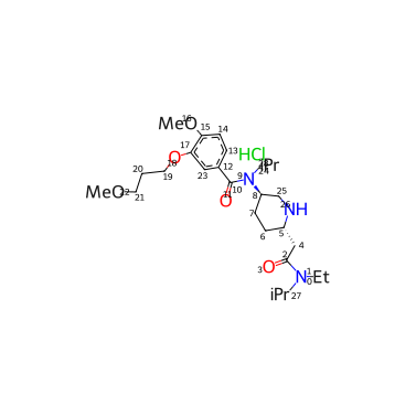 CCN(C(=O)C[C@@H]1CC[C@@H](N(C(=O)c2ccc(OC)c(OCCCOC)c2)C(C)C)CN1)C(C)C.Cl